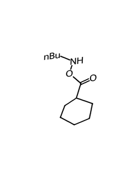 CCCCNOC(=O)C1CCCCC1